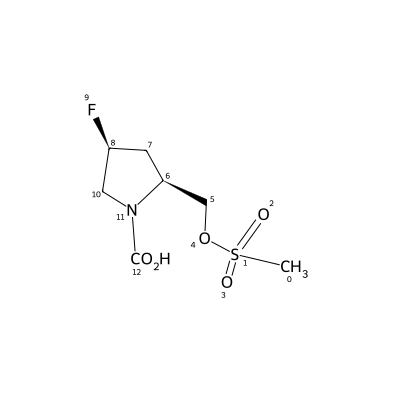 CS(=O)(=O)OC[C@@H]1C[C@H](F)CN1C(=O)O